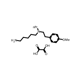 CCCN(CCCCCN)CCc1ccc(OC)cc1.O=C(O)C(=O)O